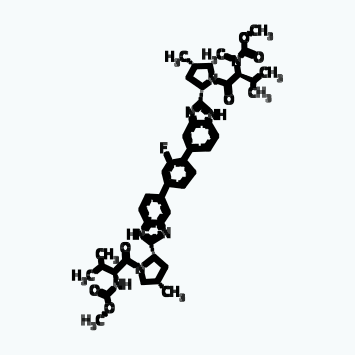 COC(=O)N[C@H](C(=O)N1C[C@@H](C)C[C@H]1c1nc2cc(-c3ccc(-c4ccc5[nH]c([C@@H]6C[C@H](C)CN6C(=O)[C@H](C(C)C)N(C)C(=O)OC)nc5c4)c(F)c3)ccc2[nH]1)C(C)C